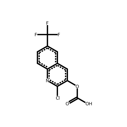 O=C(O)Oc1cc2cc(C(F)(F)F)ccc2nc1Cl